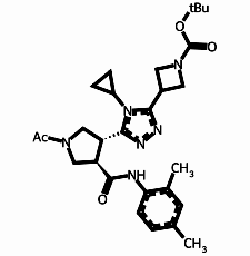 CC(=O)N1C[C@H](C(=O)Nc2ccc(C)cc2C)[C@@H](c2nnc(C3CN(C(=O)OC(C)(C)C)C3)n2C2CC2)C1